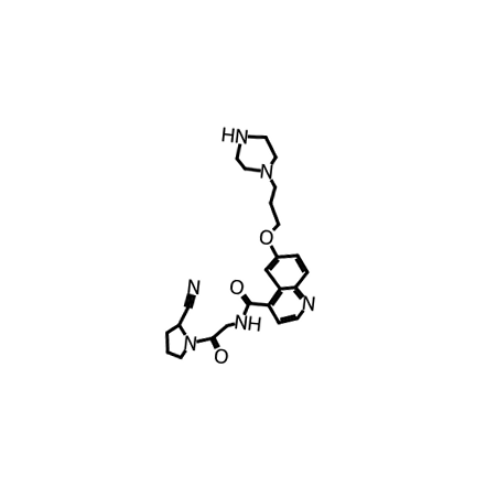 N#CC1CCCN1C(=O)CNC(=O)c1ccnc2ccc(OCCCN3CCNCC3)cc12